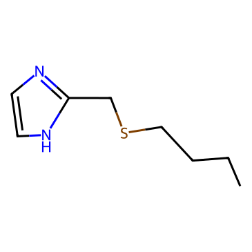 CCCCSCc1ncc[nH]1